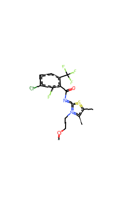 COCCn1c(C)c(C)s/c1=N\C(=O)c1c(C(F)(F)F)ccc(Cl)c1F